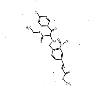 CCOC(=O)C(NCc1ccc(/C=C/C(=O)OC)cc1[N+](=O)[O-])C(=O)c1ccc(Cl)cc1